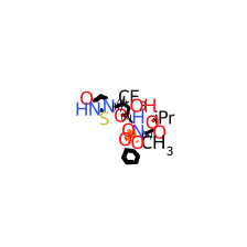 CC(C)OC(=O)[C@H](C)NP(=O)(OC[C@H]1O[C@@H](n2ccc(=O)[nH]c2=S)[C@@H](C(F)(F)F)C1O)Oc1ccccc1